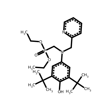 CCOP(=O)(CN(Cc1ccccn1)c1cc(C(C)(C)C)c(O)c(C(C)(C)C)c1)OCC